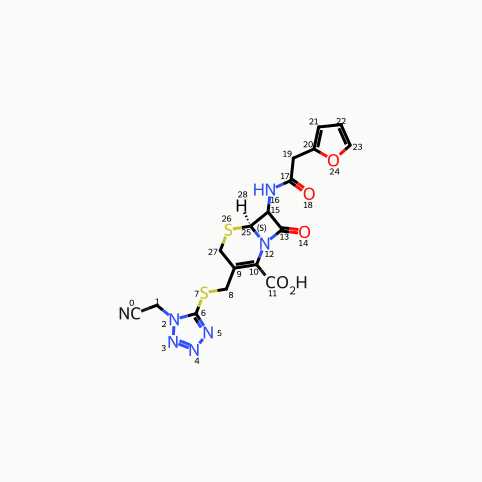 N#CCn1nnnc1SCC1=C(C(=O)O)N2C(=O)C(NC(=O)Cc3ccco3)[C@@H]2SC1